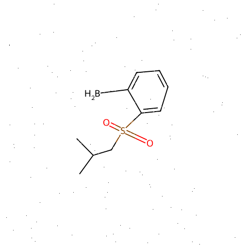 Bc1ccccc1S(=O)(=O)CC(C)C